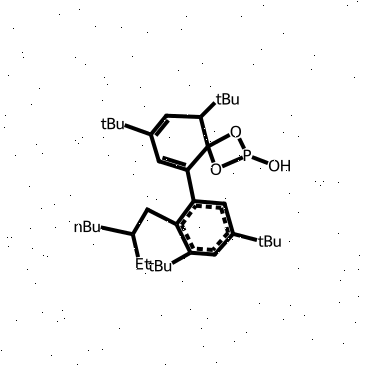 CCCCC(CC)Cc1c(C2=CC(C(C)(C)C)=CC(C(C)(C)C)C23OP(O)O3)cc(C(C)(C)C)cc1C(C)(C)C